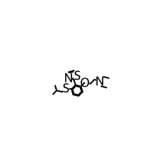 CCN(CC)CCOc1cccc(SCC(C)C)c1-c1nccs1